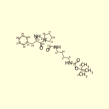 CC(C)(C)OC(=O)NCCCCNC(=O)[C@H]1CCCN1C(=O)[C@H](N)Cc1ccccc1